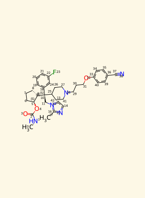 CNC(=O)O[C@H]1CCC[C@@H]1[C@](Cn1ccnc1C)(c1cccc(F)c1)C1CCN(CCCOc2ccc(C#N)cc2)CC1